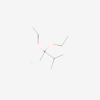 CCOC([SiH3])(OCC)C(C)Cl